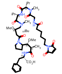 CC[C@H](C)C([C@@H](CC(=O)N1CCCC1[C@H](OC)[C@@H](C)C(=O)N[C@@H](Cc1ccccc1)C(=O)O)OC)N(C)C(=O)[C@@H](NC(=O)[C@H](C(C)C)N(C)C(=O)CNC(=O)CCCCCN1C(=O)C=CC1=O)C(C)C